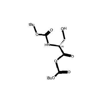 CC(C)COC(=O)OC(=O)[C@@H](CO)NC(=O)OC(C)(C)C